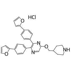 Cl.c1coc(-c2ccc(-c3ncc(OCC4CCNCC4)nc3-c3ccc(-c4ccco4)cc3)cc2)c1